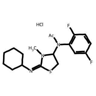 CC(=O)N(c1cc(F)ccc1F)C1CSC(=NC2CCCCC2)N1C.Cl